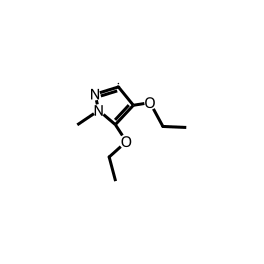 CCOc1[c]nn(C)c1OCC